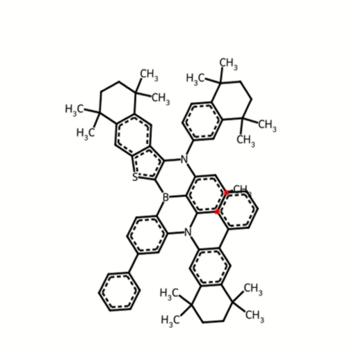 Cc1cc2c3c(c1)N(c1ccc4c(c1)C(C)(C)CCC4(C)C)c1c(sc4cc5c(cc14)C(C)(C)CCC5(C)C)B3c1ccc(-c3ccccc3)cc1N2c1cc2c(cc1-c1ccccc1)C(C)(C)CCC2(C)C